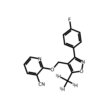 [2H]C([2H])([2H])c1onc(-c2ccc(F)cc2)c1COc1ncccc1C#N